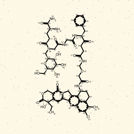 CC[C@@]1(O)C(=O)OCc2c1cc1n(c2=O)Cc2c-1nc1cc(Cl)c(C)c3c1c2[C@@H](NC(=O)COCNC(=O)CCC(=O)[C@H](Cc1ccccc1)NC(=O)CNC(=O)CN(C[C@@H]1O[C@H](CO)[C@@H](O)[C@H](O)[C@H]1O)C(=O)CC[C@H](N)C(N)=O)CC3